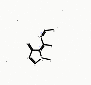 C=c1ccn(C)/c1=C(C)/N=C\C